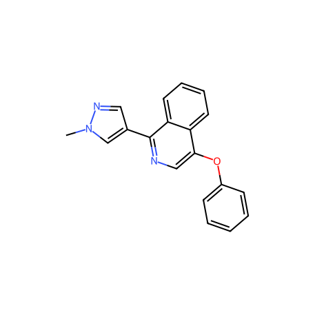 Cn1cc(-c2ncc(Oc3ccccc3)c3ccccc23)cn1